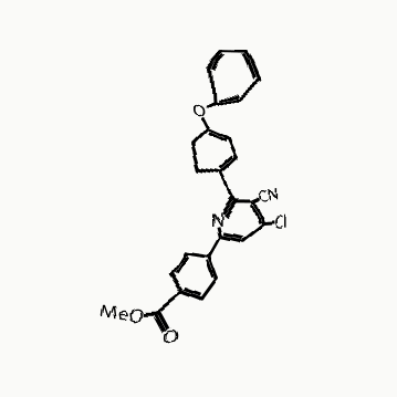 COC(=O)c1ccc(-c2cc(Cl)c(C#N)c(C3=CC=C(Oc4ccccc4)CC3)n2)cc1